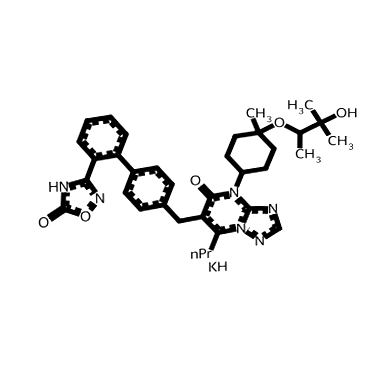 CCCc1c(Cc2ccc(-c3ccccc3-c3noc(=O)[nH]3)cc2)c(=O)n(C2CCC(C)(OC(C)C(C)(C)O)CC2)c2ncnn12.[KH]